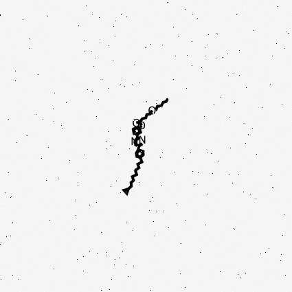 CCCCCCOCCCCC1Oc2ccc(-c3ncc(-c4ccc(CCCCCCCCCC5CC5)cc4)cn3)cc2O1